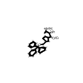 CCC[C@H](C(C)NC(C)=O)[C@H](C=O)C1CCC(COC(c2ccccc2)(c2ccccc2)c2ccccc2)C1